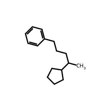 CC(CCCc1ccccc1)C1CCCC1